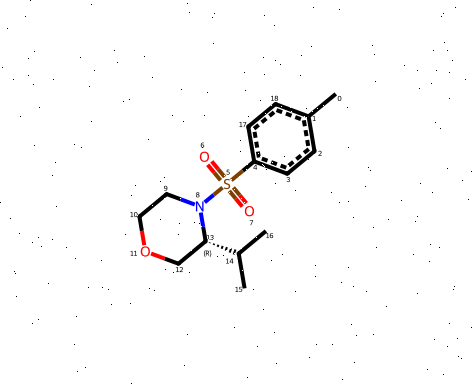 Cc1ccc(S(=O)(=O)N2CCOC[C@H]2C(C)C)cc1